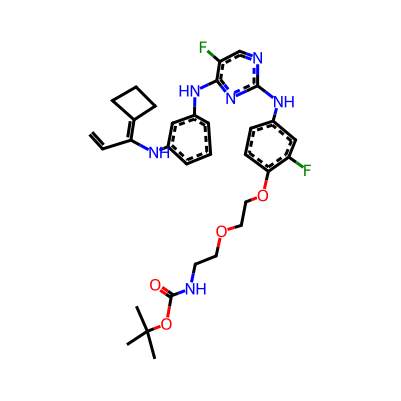 C=CC(Nc1cccc(Nc2nc(Nc3ccc(OCCOCCNC(=O)OC(C)(C)C)c(F)c3)ncc2F)c1)=C1CCC1